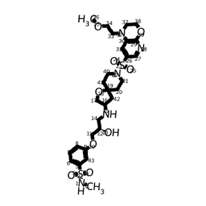 CNS(=O)(=O)c1cccc(OC[C@@H](O)CNC2COC3(CCN(S(=O)(=O)c4cnc5c(c4)N(CCOC)CCO5)CC3)C2)c1